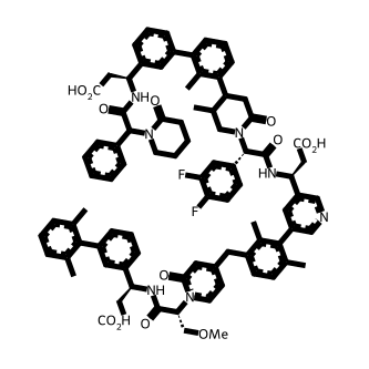 COC[C@H](C(=O)N[C@@H](CC(=O)O)c1cccc(-c2c(C)cccc2C)c1)n1ccc(Cc2ccc(C)c(-c3cncc([C@H](CC(=O)O)NC(=O)[C@H](c4ccc(F)c(F)c4)N4CC(C)C(c5cccc(-c6cccc([C@H](CC(=O)O)NC(=O)C(c7ccccc7)N7CCCCC7=O)c6)c5C)CC4=O)c3)c2C)cc1=O